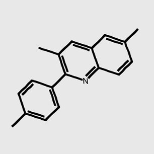 Cc1ccc(-c2nc3ccc(C)cc3cc2C)cc1